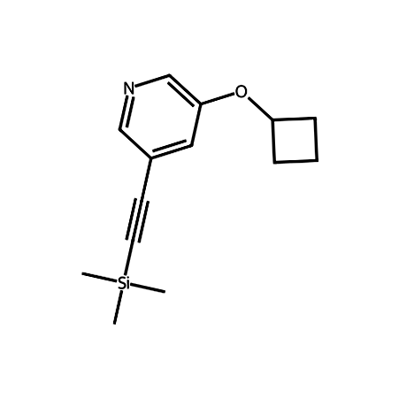 C[Si](C)(C)C#Cc1cncc(OC2CCC2)c1